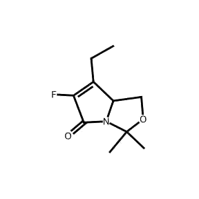 CCC1=C(F)C(=O)N2C1COC2(C)C